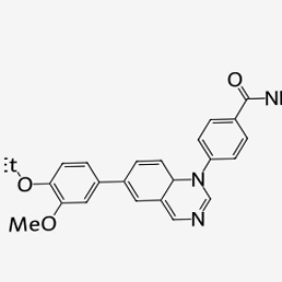 CCOc1ccc(C2=CC3=CN=CN(c4ccc(C(N)=O)cc4)C3C=C2)cc1OC